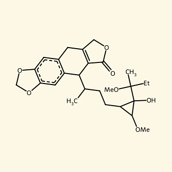 CCC(C)(OC)C1(O)C(CCC(C)C2C3=C(COC3=O)Cc3cc4c(cc32)OCO4)C1OC